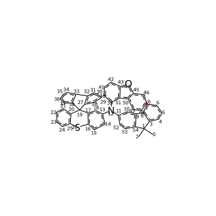 CC1(C)c2ccccc2-c2cc(N(c3ccc4c(c3)C3(c5ccccc5S4)c4ccccc4-c4ccccc43)c3cccc4oc5ccccc5c34)ccc21